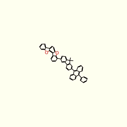 CC1(C)c2ccc(-c3cccc4c3oc3ccc5c6ccccc6oc5c34)cc2-c2ccc(-c3c4ccccc4c(-c4ccccc4)c4ccccc34)cc21